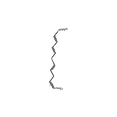 CC/C=C\CC=CCC=CC=CCCCCCCC